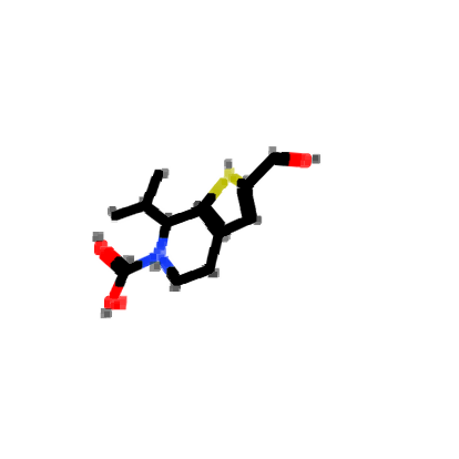 CC(C)C1c2sc(C=O)cc2CCN1C(=O)O